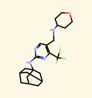 FC(F)(F)c1nc(NC23CC4CC(CC(C4)C2)C3)ncc1CNC1CCOCC1